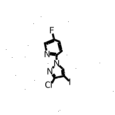 Fc1ccc(-n2cc(I)c(Cl)n2)nc1